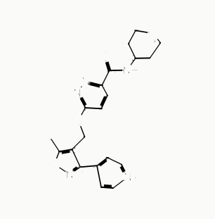 Cc1onc(-c2ccncc2)c1COc1ccc(C(=O)NC2CCOCC2)nn1